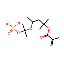 C=C(C)C(=O)OC(C)(C)CC(C)OC(C)(C)OP(=O)(O)O